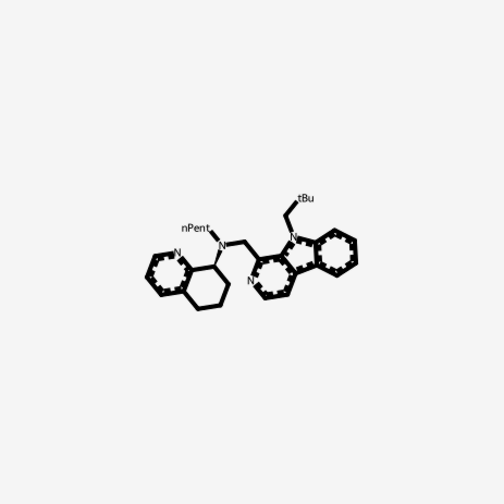 CCCCCN(Cc1nccc2c3ccccc3n(CC(C)(C)C)c12)[C@H]1CCCc2cccnc21